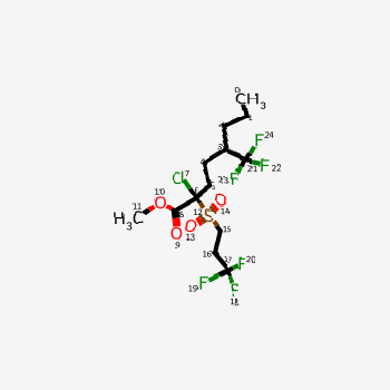 CCCC(CCC(Cl)(C(=O)OC)S(=O)(=O)CCC(F)(F)F)C(F)(F)F